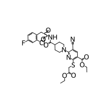 CCOC(=O)CSc1nc(N2CCC(C(=O)NS(=O)(=O)Cc3ccc(F)cc3Cl)CC2)c(C#N)cc1C(=O)OCC